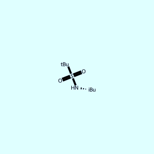 CC[C@@H](C)NS(=O)(=O)C(C)(C)C